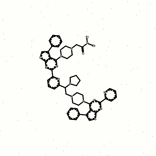 CCN(CC)C(=O)CN1CCN(c2nc(-c3cccc(C(CN4CCN(c5nc(-c6ccccn6)nc6scc(-c7ccccc7)c56)CC4)N4CCCC4)n3)nc3scc(-c4ccccc4)c23)CC1